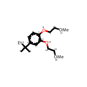 CCC(C)(C)c1ccc(OCCOC)c(OCCOC)c1